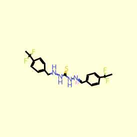 CC(F)(F)c1ccc(/C=N/NC(=S)NNCc2ccc(C(C)(F)F)cc2)cc1